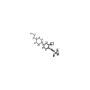 CCCC1CCC(c2ccc(C#CC(F)(F)F)c(Cl)c2)CC1